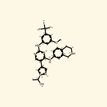 COc1cc(Nc2ncc(-c3cnn(C(C)O)c3)c(Nc3ccc4c(c3)CNCC4)n2)cc(C(F)(F)F)c1